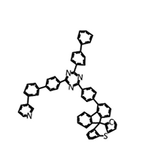 c1ccc(-c2ccc(-c3nc(-c4ccc(-c5cccc(-c6cccnc6)c5)cc4)nc(-c4ccc(-c5cccc6c5-c5ccccc5C65c6ccccc6Sc6ccccc65)cc4)n3)cc2)cc1